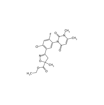 CCOC(=O)C1(C)CC(c2cc(-n3c(=O)cc(C)n(C)c3=O)c(F)cc2Cl)=NO1